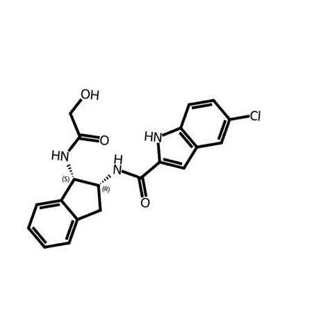 O=C(CO)N[C@H]1c2ccccc2C[C@H]1NC(=O)c1cc2cc(Cl)ccc2[nH]1